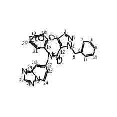 CCOC(=O)c1cnn(Cc2ccccc2)c1C(=O)N(c1ccccc1)c1ccn2ncnc2c1